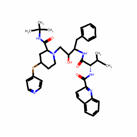 CC(C)[C@H](NC(=O)c1ccc2ccccc2n1)C(=O)NC(Cc1ccccc1)C(O)CN1CCC(Sc2ccncc2)CC1C(=O)NC(C)(C)C